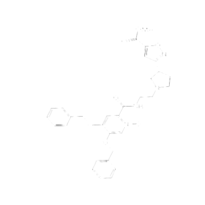 COC(=O)c1cc([C@@H]2CCN(CCNC(=O)c3cc(OCc4ccccc4)c(OCc4ccccc4)c[n+]3[O-])C2)no1